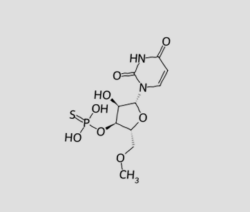 COC[C@H]1O[C@@H](n2ccc(=O)[nH]c2=O)[C@H](O)[C@@H]1OP(O)(O)=S